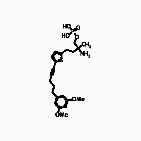 COc1cc(CCCC#Cc2ccc(CCC(C)(N)COP(=O)(O)O)s2)cc(OC)c1